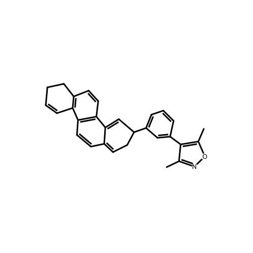 Cc1noc(C)c1-c1cccc(C2C=c3c(ccc4c5c(ccc34)CCC=C5)=CC2)c1